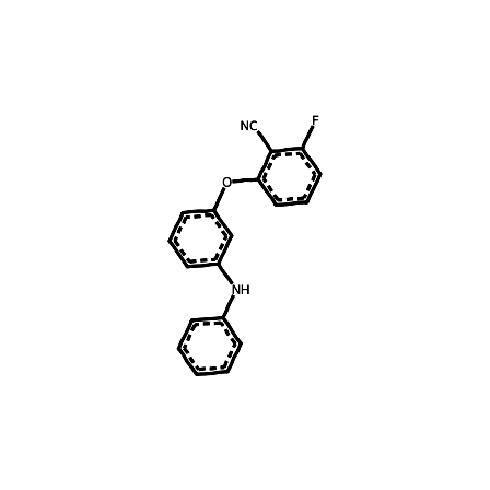 N#Cc1c(F)cccc1Oc1cccc(Nc2ccccc2)c1